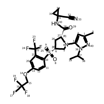 Cc1cc(N2C[C@H](S(=O)(=O)c3ccc(OCC(F)(F)F)cc3C(F)(F)F)C[C@@H]2C(=O)NC2(C#N)CC2)n(C(C)C)n1